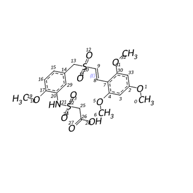 COc1cc(OC)c(/C=C/S(=O)(=O)Cc2ccc(OC)c(NS(=O)(=O)CC(=O)O)c2)c(OC)c1